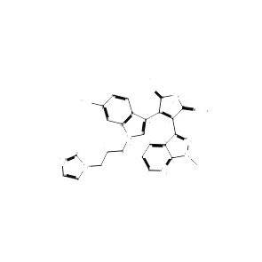 Cn1nc(C2=C(c3cn(CCCn4ccnc4)c4cc(F)ccc34)C(=O)NC2=O)c2cccnc21